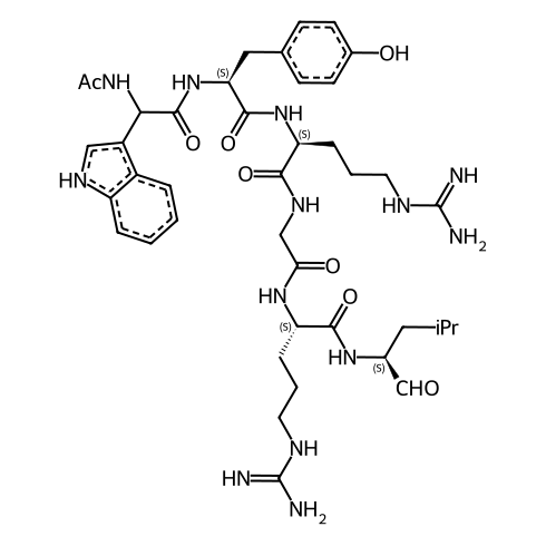 CC(=O)NC(C(=O)N[C@@H](Cc1ccc(O)cc1)C(=O)N[C@@H](CCCNC(=N)N)C(=O)NCC(=O)N[C@@H](CCCNC(=N)N)C(=O)N[C@H](C=O)CC(C)C)c1c[nH]c2ccccc12